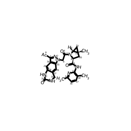 CC(=O)c1nn(CC(=O)N2[C@H](C(=O)Nc3nc(C)ccc3C)C[C@@]3(C)C[C@@H]23)c2cc3c(cc12)NC(=O)NC3